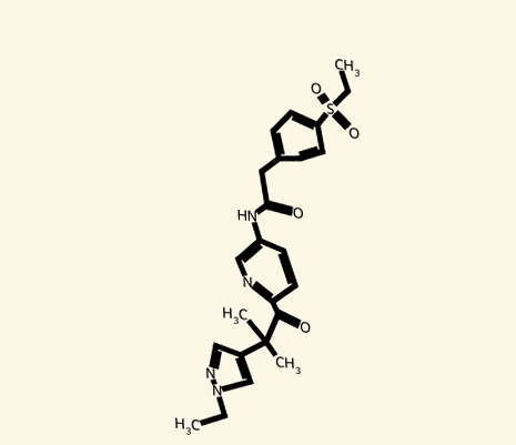 CCn1cc(C(C)(C)C(=O)c2ccc(NC(=O)Cc3ccc(S(=O)(=O)CC)cc3)cn2)cn1